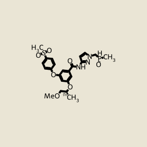 COC[C@H](C)Oc1cc(Oc2ccc(S(C)(=O)=O)cc2)cc(C(=O)Nc2ccn(C[PH](C)=O)n2)c1